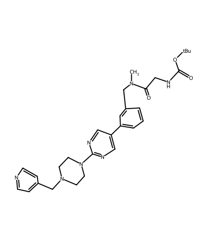 CN(Cc1cccc(-c2cnc(N3CCN(Cc4ccncc4)CC3)nc2)c1)C(=O)CNC(=O)OC(C)(C)C